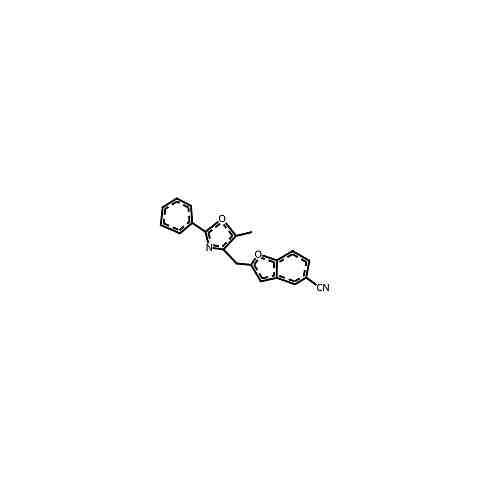 Cc1oc(-c2ccccc2)nc1Cc1cc2cc(C#N)ccc2o1